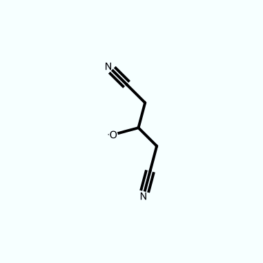 N#CCC([O])CC#N